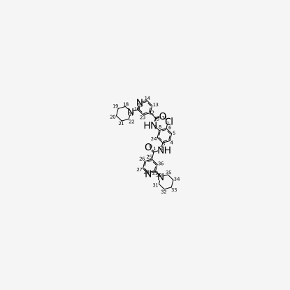 O=C(Nc1ccc(Cl)c(NC(=O)c2ccnc(N3CCCCC3)c2)c1)c1ccnc(N2CCCCC2)c1